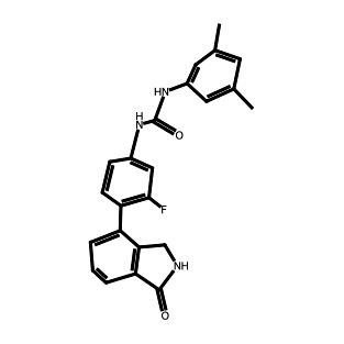 Cc1cc(C)cc(NC(=O)Nc2ccc(-c3cccc4c3CNC4=O)c(F)c2)c1